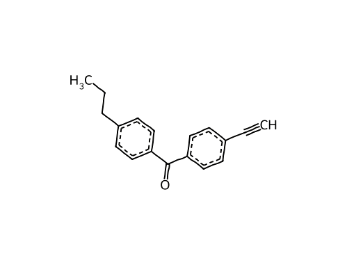 C#Cc1ccc(C(=O)c2ccc(CCC)cc2)cc1